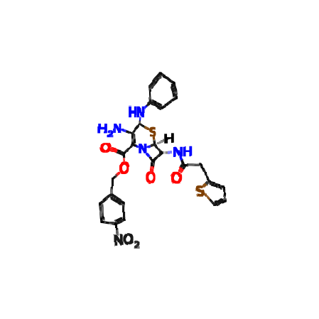 NC1=C(C(=O)OCc2ccc([N+](=O)[O-])cc2)N2C(=O)[C@@H](NC(=O)Cc3cccs3)[C@@H]2SC1Nc1ccccc1